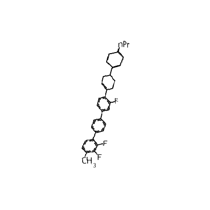 CCCC1CCC(C2CC=C(c3ccc(-c4ccc(-c5ccc(C)c(F)c5F)cc4)cc3F)CC2)CC1